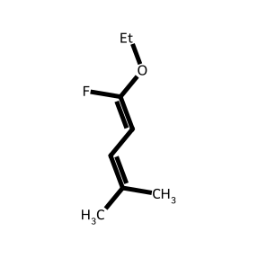 CCOC(F)=CC=C(C)C